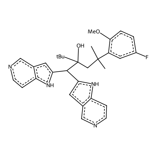 COc1ccc(F)cc1C(C)(C)CC(O)(C(c1cc2cnccc2[nH]1)c1cc2cnccc2[nH]1)C(C)(C)C